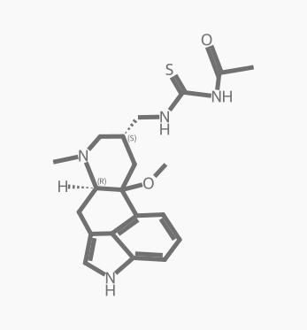 COC12C[C@@H](CNC(=S)NC(C)=O)CN(C)[C@@H]1Cc1c[nH]c3cccc2c13